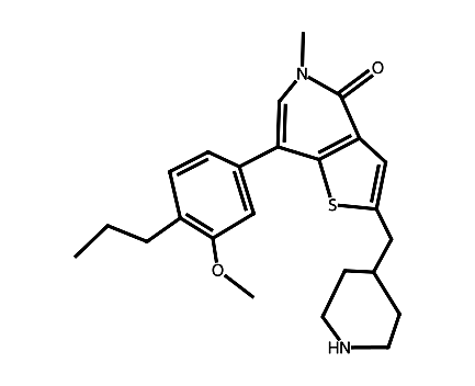 CCCc1ccc(-c2cn(C)c(=O)c3cc(CC4CCNCC4)sc23)cc1OC